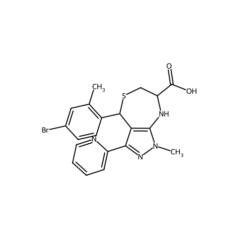 Cc1cc(Br)ccc1C1SCC(C(=O)O)Nc2c1c(-c1ccccn1)nn2C